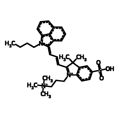 CCCCn1/c(=C/C=C/C2=[N+](CCC[N+](C)(C)C)c3ccc(S(=O)(=O)O)cc3C2(C)C)c2cccc3cccc1c32